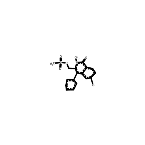 Cn1c(COS(C)(=O)=O)c(-c2ccccc2)c2cc(Cl)ccc2c1=O